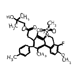 COc1ccc2c(c1F)CN(S(C)(=O)=O)c1c(C)c(CC(=O)OCC(C)(C)O)c(-c3ccc(C)cc3)c(C)c1-2